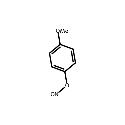 COc1ccc(ON=O)cc1